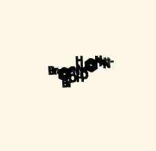 [N-]=[N+]=Nc1ccc(C(=O)N/N=C/c2cc(Br)cc(Br)c2O)cc1